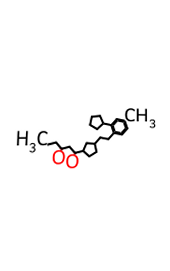 CCCC(=O)CC(=O)C1CCC(CCc2ccc(C)cc2C2CCCC2)C1